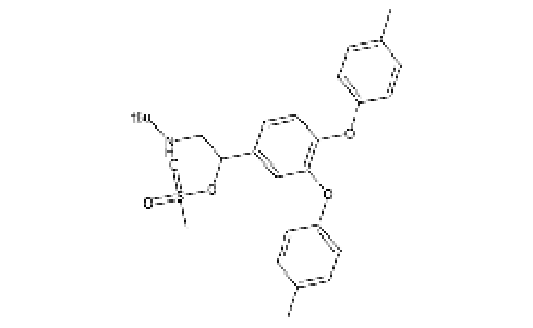 Cc1ccc(Oc2ccc(C(CNC(C)(C)C)OS(C)(=O)=O)cc2Oc2ccc(C)cc2)cc1